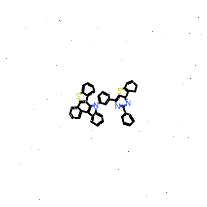 C1=Cc2sc3c(-c4cccc(-n5c6ccccc6c6c7ccccc7c7sc8ccccc8c7c65)c4)nc(-c4ccccc4)nc3c2CC1